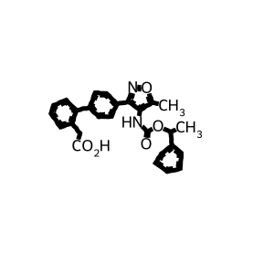 Cc1onc(-c2ccc(-c3ccccc3CC(=O)O)cc2)c1NC(=O)OC(C)c1ccccc1